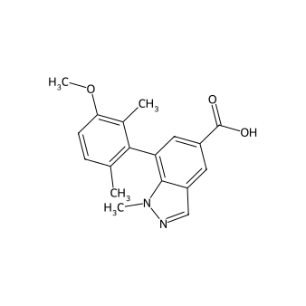 COc1ccc(C)c(-c2cc(C(=O)O)cc3cnn(C)c23)c1C